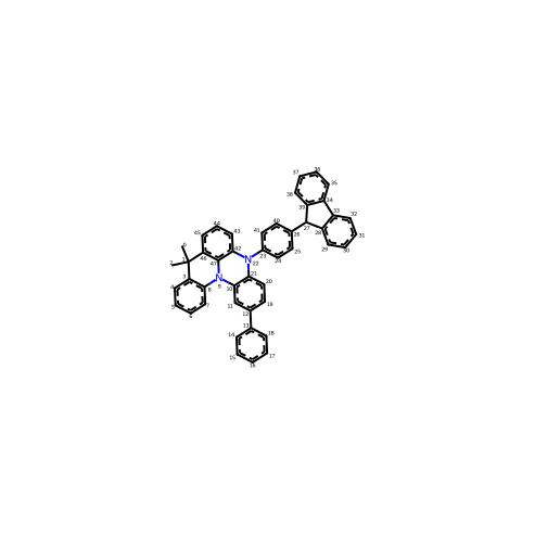 CC1(C)c2ccccc2N2c3cc(-c4ccccc4)ccc3N(c3ccc(C4c5ccccc5-c5ccccc54)cc3)c3cccc1c32